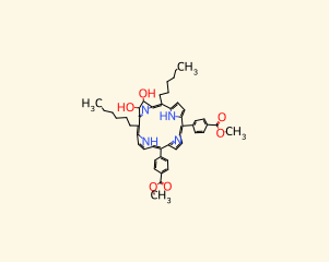 CCCCCCc1c2nc(c(CCCCCC)c3ccc([nH]3)c(-c3ccc(C(=O)OC)cc3)c3nc(c(-c4ccc(C(=O)OC)cc4)c4ccc1[nH]4)C=C3)C(O)C2O